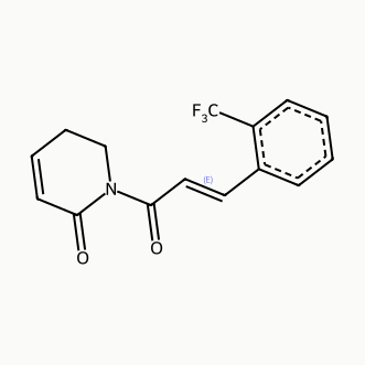 O=C1C=CCCN1C(=O)/C=C/c1ccccc1C(F)(F)F